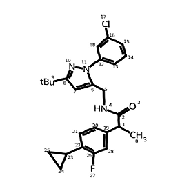 CC(C(=O)NCc1cc(C(C)(C)C)nn1-c1cccc(Cl)c1)c1ccc(C2CC2)c(F)c1